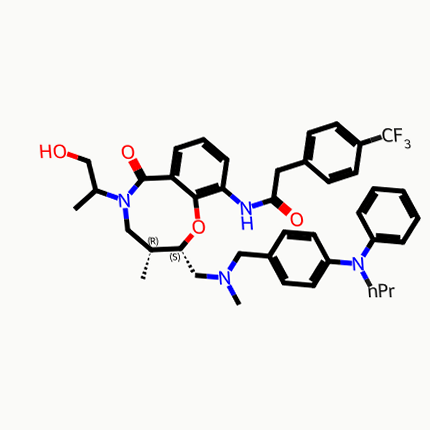 CCCN(c1ccccc1)c1ccc(CN(C)C[C@H]2Oc3c(NC(=O)Cc4ccc(C(F)(F)F)cc4)cccc3C(=O)N(C(C)CO)C[C@H]2C)cc1